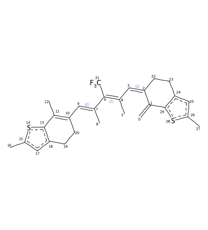 C=C1\C(=C/C(C)=C(/C(C)=C/C2=C(C)c3sc(C)cc3CC2)C(F)(F)F)CCc2cc(C)sc21